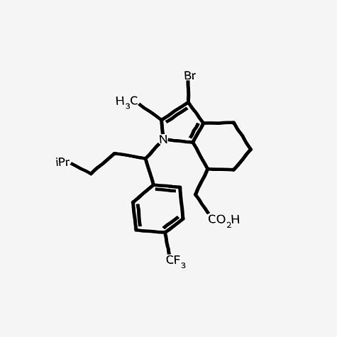 Cc1c(Br)c2c(n1C(CCC(C)C)c1ccc(C(F)(F)F)cc1)C(CC(=O)O)CCC2